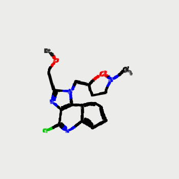 CCOCc1nc2c(Cl)nc3ccccc3c2n1CC1CCN(C)O1